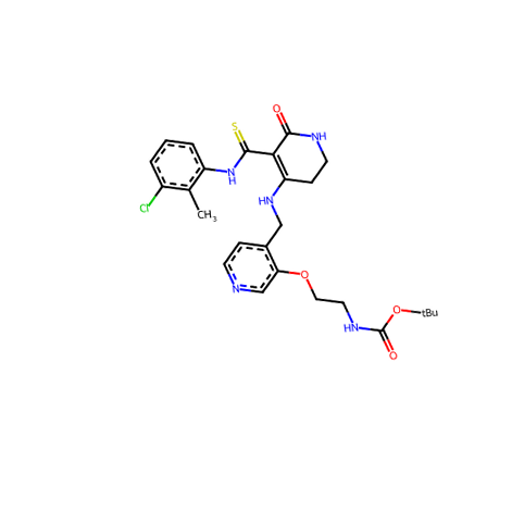 Cc1c(Cl)cccc1NC(=S)C1=C(NCc2ccncc2OCCNC(=O)OC(C)(C)C)CCNC1=O